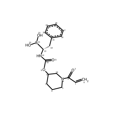 C=CC(=O)N1CCCC(OC(=O)N[C@@H](Cc2ccccc2)B(O)O)C1